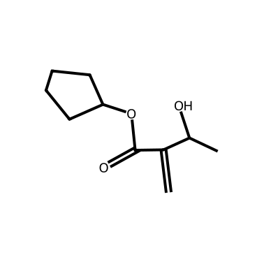 C=C(C(=O)OC1CCCC1)C(C)O